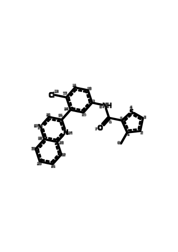 Cc1ccsc1C(=O)Nc1ccc(Cl)c(-c2cnc3ccccc3n2)c1